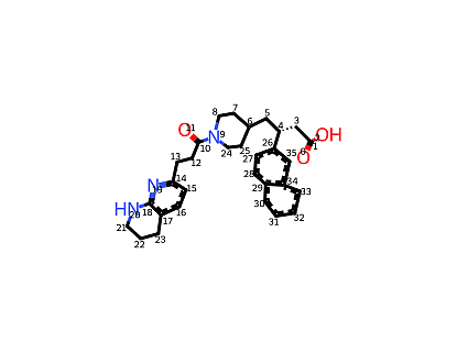 O=C(O)C[C@@H](CC1CCN(C(=O)CCc2ccc3c(n2)NCCC3)CC1)c1ccc2ccccc2c1